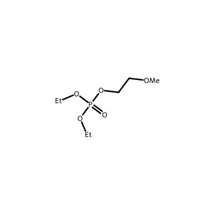 CCOP(=O)(OCC)OCCOC